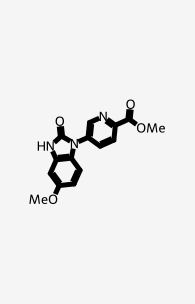 COC(=O)c1ccc(-n2c(=O)[nH]c3cc(OC)ccc32)cn1